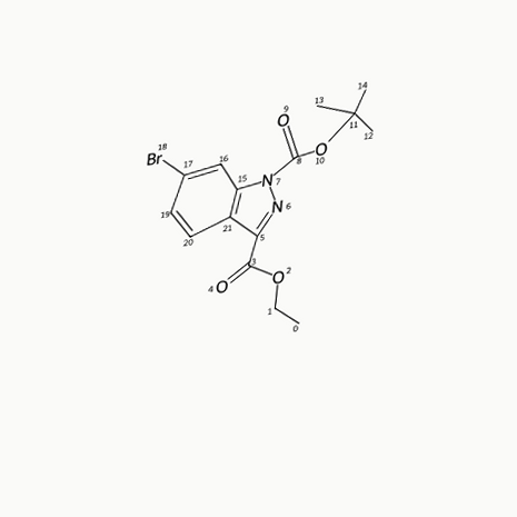 CCOC(=O)c1nn(C(=O)OC(C)(C)C)c2cc(Br)ccc12